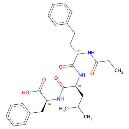 CCC(=O)N[C@@H](CCc1ccccc1)C(=O)N[C@@H](CC(C)C)C(=O)N[C@@H](Cc1ccccc1)C(=O)O